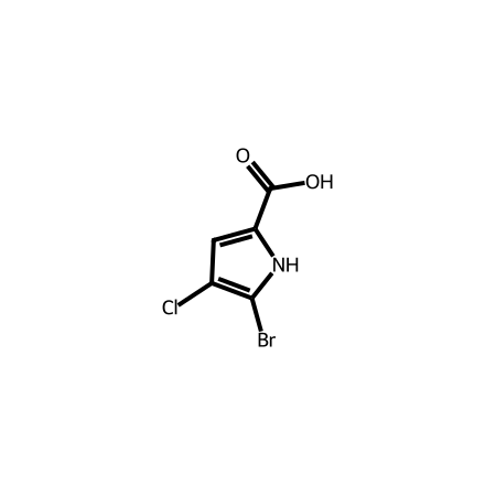 O=C(O)c1cc(Cl)c(Br)[nH]1